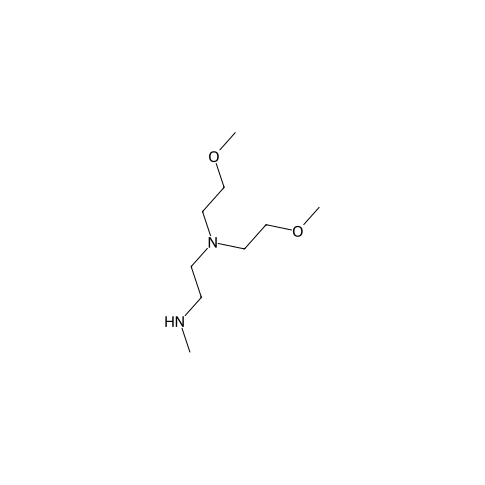 CNCCN(CCOC)CCOC